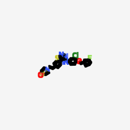 [O-][S+]1CCN(CCc2ccc3c(c2)sc2ncnc(Nc4ccc(OCc5cccc(F)c5)c(Cl)c4)c23)CC1